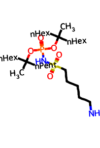 CCCCCCC(C)(CCCCC)OP(=O)(NS(=O)(=O)CCCCCN)OC(C)(CCCCCC)CCCCCC